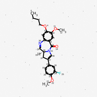 CCCCOc1cc2c(cc1OC)C(=O)N1C=C(c3ccc(OC)c(F)c3)C[C@H]1C=N2